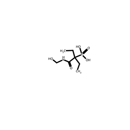 CCC(CC)(C(=O)NCO)P(=O)(O)O